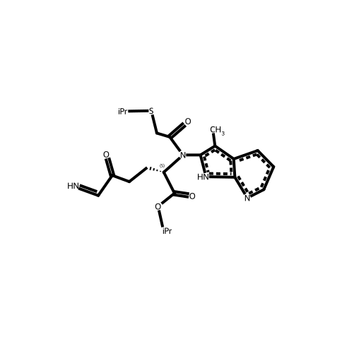 Cc1c(N(C(=O)CSC(C)C)[C@@H](CCC(=O)C=N)C(=O)OC(C)C)[nH]c2ncccc12